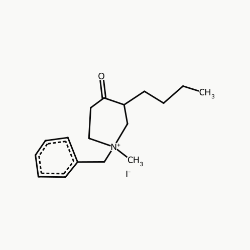 CCCCC1C[N+](C)(Cc2ccccc2)CCC1=O.[I-]